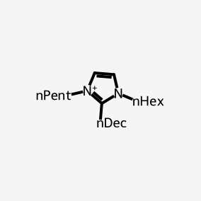 CCCCCCCCCCc1n(CCCCCC)cc[n+]1CCCCC